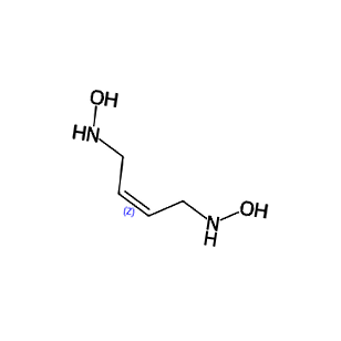 ONC/C=C\CNO